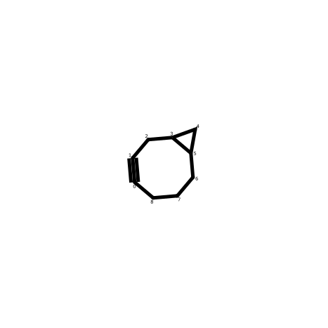 C1#CCC2CC2CCC1